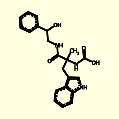 CC(Cc1c[nH]c2ccccc12)(NC(=O)O)C(=O)NCC(O)c1ccccc1